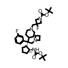 CC(C)(C)OC(=O)N[C@H]1CCC[C@@H]1C(CN1CCC1)(c1cccc(F)c1)C1CCN(CC2(F)CN(C(=O)OC(C)(C)C)C2)CC1